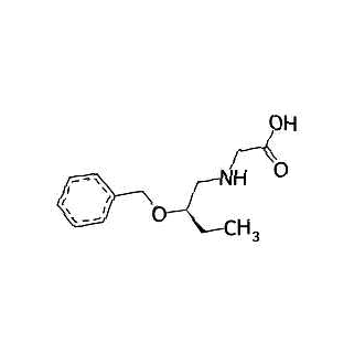 CC[C@H](CNCC(=O)O)OCc1ccccc1